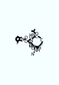 C=C(C)C(=O)N[C@H]1CCCCC/C=C\[C@@H]2C[C@@]2(C(=O)NC#N)NC(=O)C2C[C@@H](OC(=O)N3Cc4cccc(F)c4C3)CN2C1=O